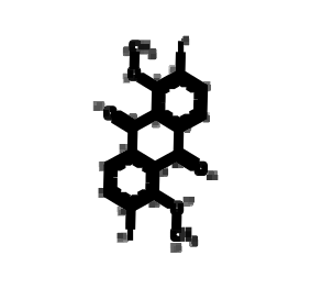 COc1c(I)ccc2c1C(=O)c1ccc(I)c(OC)c1C2=O